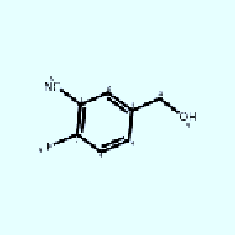 N#Cc1cc(CO)ccc1F